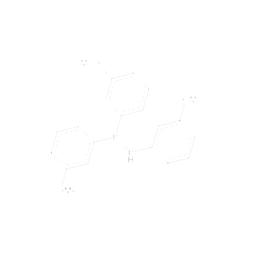 COc1cccc(PP(c2cccc(OC)c2)c2cccc(OC)c2)c1